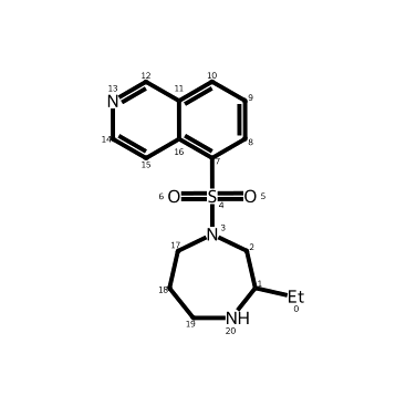 CCC1CN(S(=O)(=O)c2cccc3cnccc23)CCCN1